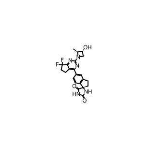 C[C@H]1[C@H](O)CN1c1nc(-c2ccc3c(c2)CC[C@]32NC(=O)NC2=O)c2c(n1)C(F)(F)CC2